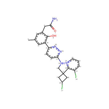 Cc1cc(CC(N)=O)c(O)c(-c2ccc(NCC3(c4ncccc4F)CC(F)C3)nn2)c1